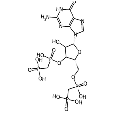 Nc1nc2c(ncn2[C@@H]2O[C@H](COP(=O)(O)CP(=O)(O)O)C(OP(=O)(O)CP(=O)(O)O)C2O)c(=O)[nH]1